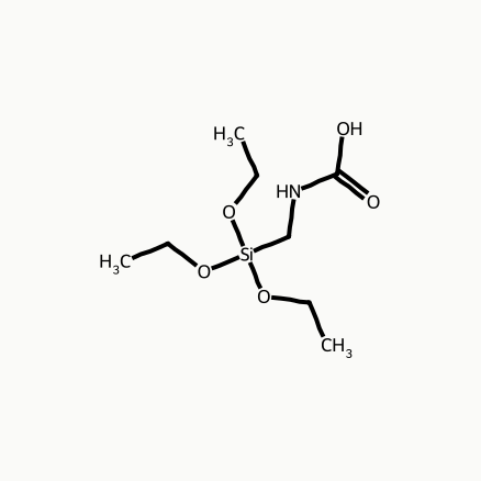 CCO[Si](CNC(=O)O)(OCC)OCC